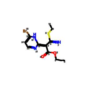 CCOC(=O)/C(C(=N)SCC)=C1\N=CC=C(Br)N1